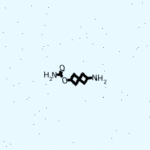 NC(=O)OC1CC2(CC(N)C2)C1